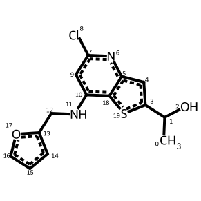 CC(O)c1cc2nc(Cl)cc(NCc3ccco3)c2s1